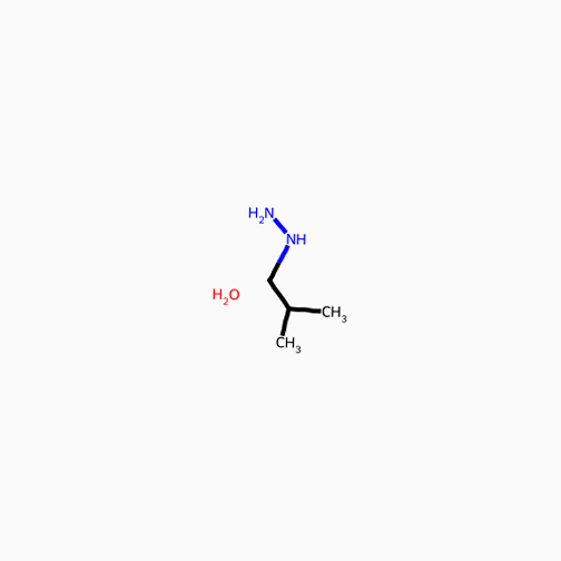 CC(C)CNN.O